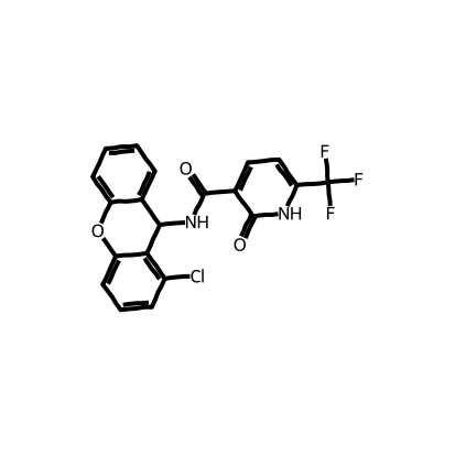 O=C(NC1c2ccccc2Oc2cccc(Cl)c21)c1ccc(C(F)(F)F)[nH]c1=O